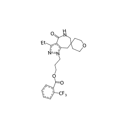 CCc1nn(CCCOC(=O)c2ccccc2C(F)(F)F)c2c1C(=O)NCC1(CCOCC1)C2